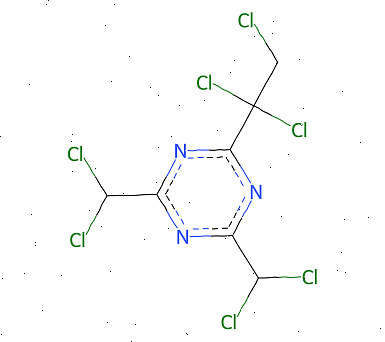 ClCC(Cl)(Cl)c1nc(C(Cl)Cl)nc(C(Cl)Cl)n1